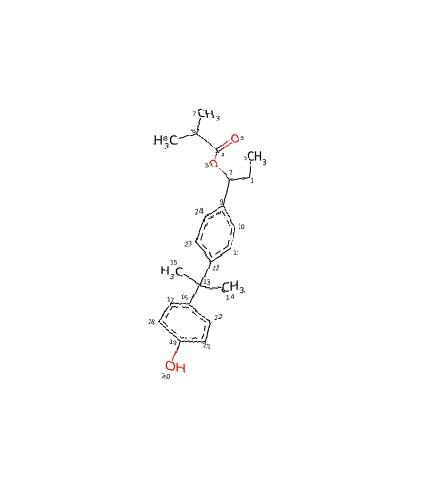 CCC(OC(=O)C(C)C)c1ccc(C(C)(C)c2ccc(O)cc2)cc1